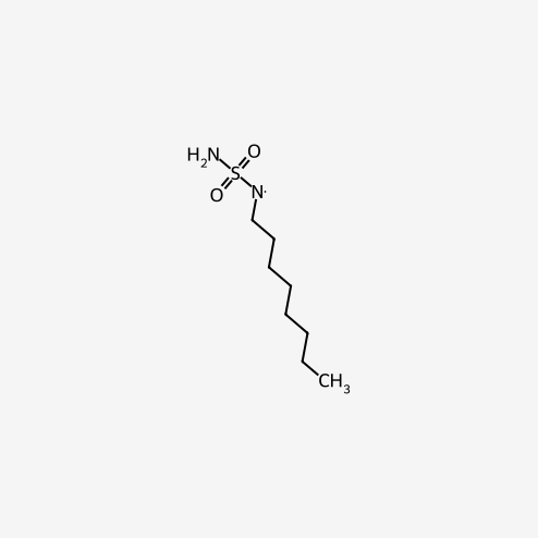 CCCCCCCC[N]S(N)(=O)=O